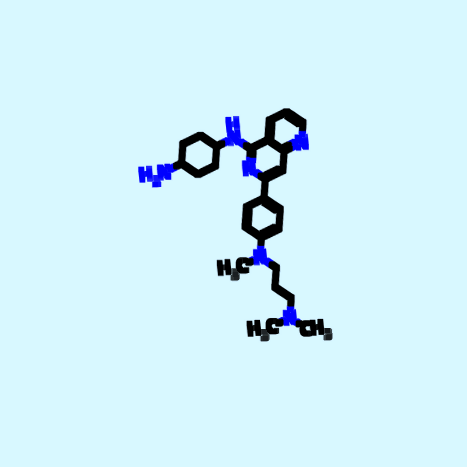 CN(C)CCCN(C)c1ccc(-c2cc3ncccc3c(NC3CCC(N)CC3)n2)cc1